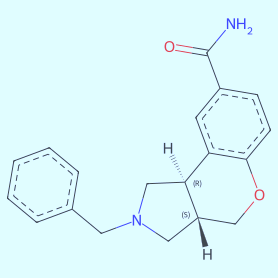 NC(=O)c1ccc2c(c1)[C@@H]1CN(Cc3ccccc3)C[C@H]1CO2